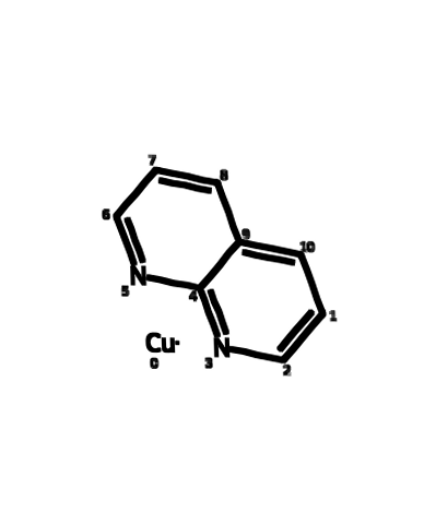 [Cu].c1cnc2ncccc2c1